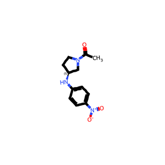 CC(=O)N1CC[C@H](Nc2ccc([N+](=O)[O-])cc2)C1